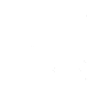 Cn1nc(C2=CCC(F)C=C2)cc1C(=O)NCc1ccc(C(=O)c2ccco2)s1